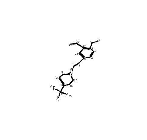 CCc1ccc(CCN2CC=C(C(F)(F)F)CC2)cc1CC